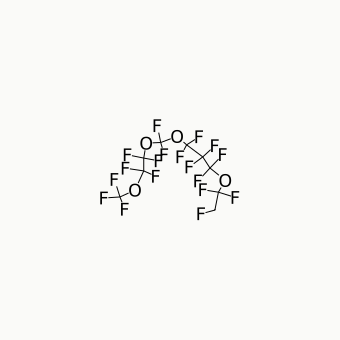 FCC(F)(F)OC(F)(F)C(F)(F)C(F)(F)OC(F)(F)OC(F)(F)C(F)(F)OC(F)(F)F